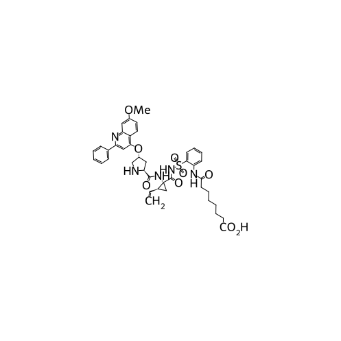 C=C[C@@H]1C[C@]1(NC(=O)[C@@H]1C[C@@H](Oc2cc(-c3ccccc3)nc3cc(OC)ccc23)CN1)C(=O)NS(=O)(=O)c1ccccc1NC(=O)CCCCCCC(=O)O